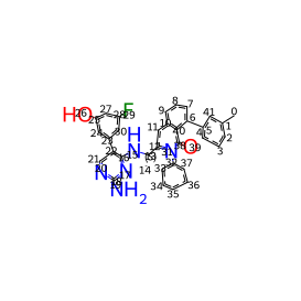 Cc1cccc(-c2cccc3cc([C@H](C)Nc4nc(N)ncc4-c4cc(O)cc(F)c4)n(-c4ccccc4)c(=O)c23)c1